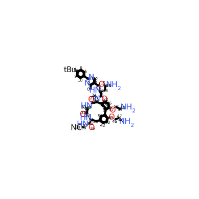 Cc1nc(-c2ccc(C(C)(C)C)cc2)ncc1C(=O)N[C@@H](CCN)C(=O)N(C)[C@@H]1C(=O)N[C@@H](C)C(=O)N[C@H](C(=O)NCC#N)Cc2ccc(OCCN)c(c2)-c2cc1ccc2OCCN